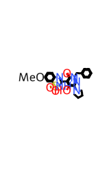 COc1ccc2c(c1)S(=O)(=O)NC(c1c(O)c(N3CCCC3)nn(Cc3ccccc3)c1=O)=N2